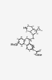 COC(=O)c1cccc(N(CCCC2(C3CCNCC3)CC2)Cc2ccc(OC)cc2)n1